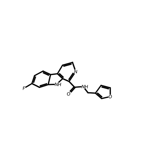 O=C(NCc1ccoc1)c1nccc2c1[nH]c1cc(F)ccc12